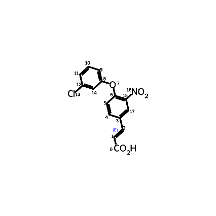 O=C(O)/C=C/c1ccc(Oc2cccc(Cl)c2)c([N+](=O)[O-])c1